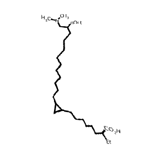 CCCCCCCCC(CCCCCCCCCCC1CC1CCCCCCC(CC)C(=O)O)CN(C)C